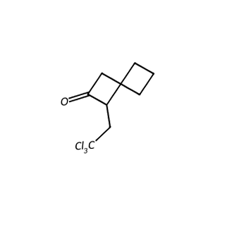 O=C1CC2(CCC2)C1CC(Cl)(Cl)Cl